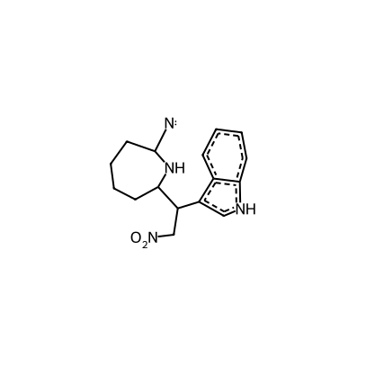 [N]C1CCCCC(C(C[N+](=O)[O-])c2c[nH]c3ccccc23)N1